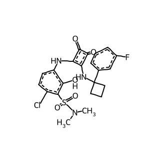 CN(C)S(=O)(=O)c1c(Cl)ccc(Nc2c(NC3(c4cccc(F)c4)CCC3)c(=O)c2=O)c1O